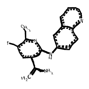 C=C(N)c1cc(F)c(C)nc1Nc1ccc2ncccc2c1